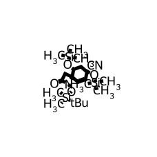 CC(C)(C)[Si](C)(C)ON1C(=O)CC12C=CC(C#N)(O[Si](C)(C)C)CC2O[Si](C)(C)C